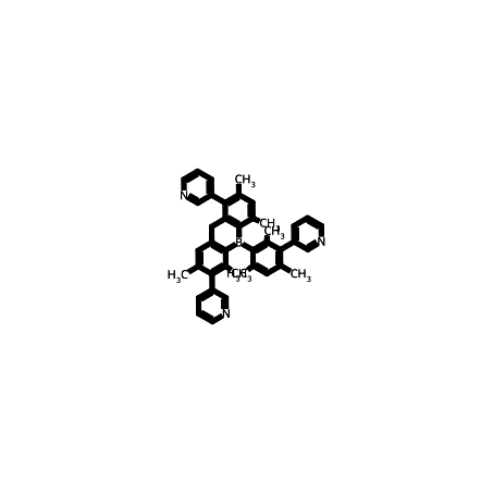 Cc1cc(C)c(-c2cccnc2)c(C)c1B1c2c(cc(C)c(-c3cccnc3)c2C)Cc2c1c(C)cc(C)c2-c1cccnc1